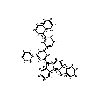 C1=C(c2cc(-c3ccccc3)cc(-n3c4ccccc4c4c5sc6ccccc6c5ccc43)c2)C=C(c2cccc3ccccc23)CC1